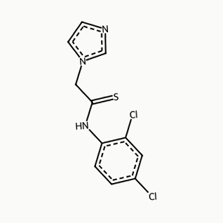 S=C(Cn1ccnc1)Nc1ccc(Cl)cc1Cl